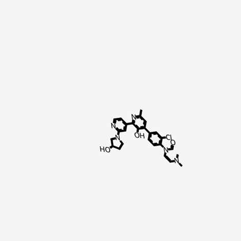 Cc1cc(-c2ccc(N(C=O)/C=C\N(C)C)c(Cl)c2)c(O)c(-c2ccnc(N3CCC(O)C3)c2)n1